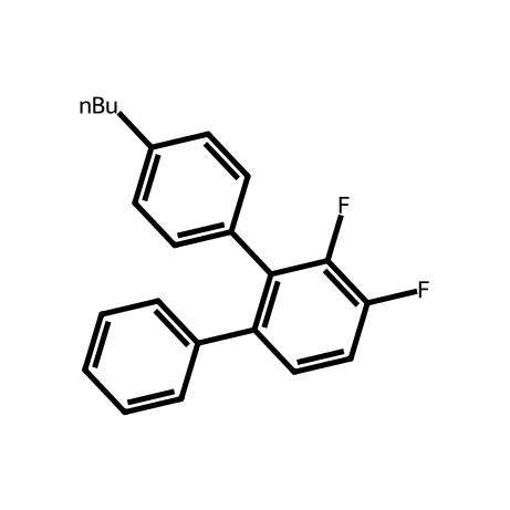 CCCCc1ccc(-c2c(-c3ccccc3)ccc(F)c2F)cc1